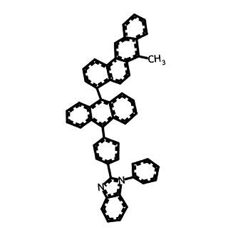 Cc1c2ccccc2cc2c1ccc1c(-c3c4ccccc4c(-c4ccc(-c5nc6ccccc6n5-c5ccccc5)cc4)c4ccccc34)cccc12